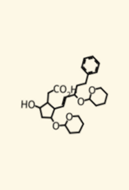 O=C(O)CC1C(O)CC(OC2CCCCO2)C1C=CC(CCc1ccccc1)OC1CCCCO1